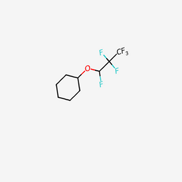 FC(OC1CCCCC1)C(F)(F)C(F)(F)F